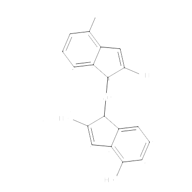 CC1=Cc2c(C)cccc2[CH]1[Zr+2][CH]1C(C)=Cc2c(C)cccc21.[Cl-].[Cl-]